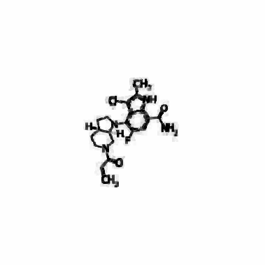 C=CC(=O)N1CC[C@@H]2CCN(c3c(F)cc(C(N)=O)c4[nH]c(C)c(Cl)c34)[C@H]2C1